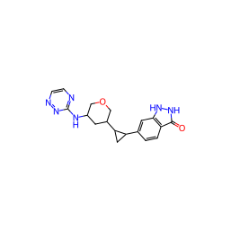 O=c1[nH][nH]c2cc(C3CC3C3COCC(Nc4nccnn4)C3)ccc12